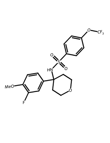 COc1ccc(C2(NS(=O)(=O)c3ccc(OC(F)(F)F)cc3)CCOCC2)cc1F